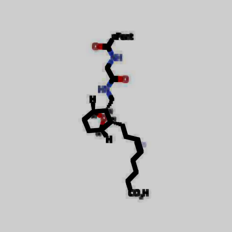 CCCCCC(=O)NCC(=O)NC[C@@H]1[C@H](CC/C=C\CCCC(=O)O)[C@@H]2CC[C@H]1O2